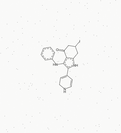 O=C1CC(I)Cc2[nH]c(C3=CCNC=C3)c(Nc3ccccc3)c21